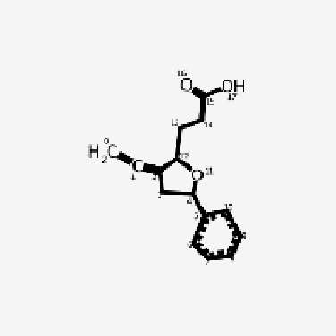 C=C=C1CC(c2ccccc2)OC1CCC(=O)O